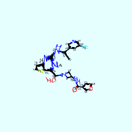 CC(Nc1nc(C(O)N2CC(NC(=O)c3ccoc3)C2)c2sccc2n1)c1cncc(F)c1